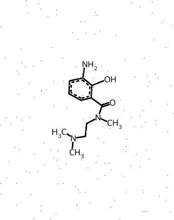 CN(C)CCN(C)C(=O)c1cccc(N)c1O